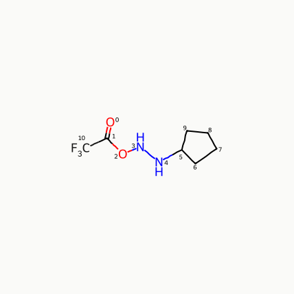 O=C(ONNC1CCCC1)C(F)(F)F